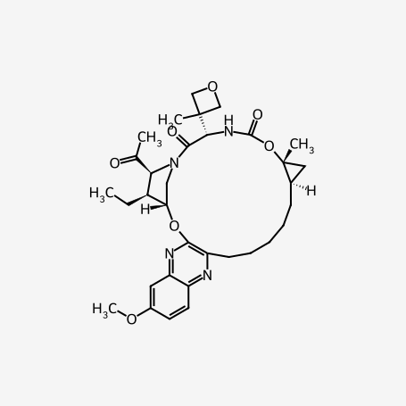 CC[C@@H]1[C@@H]2CN(C(=O)[C@H](C3(C)COC3)NC(=O)O[C@]3(C)C[C@H]3CCCCCc3nc4ccc(OC)cc4nc3O2)[C@@H]1C(C)=O